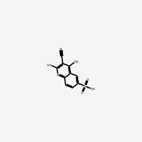 N#Cc1c(O)nc2ccc(S(=O)(=O)O)cc2c1O